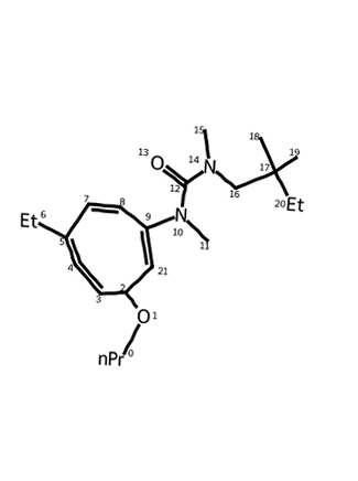 CCCOC1C=C=C(CC)/C=C\C(N(C)C(=O)N(C)CC(C)(C)CC)=C1